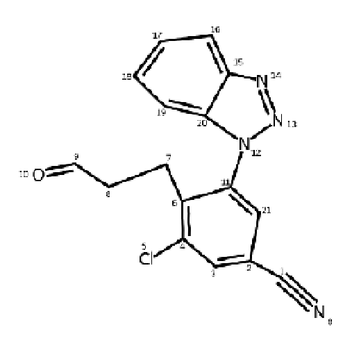 N#Cc1cc(Cl)c(CCC=O)c(-n2nnc3ccccc32)c1